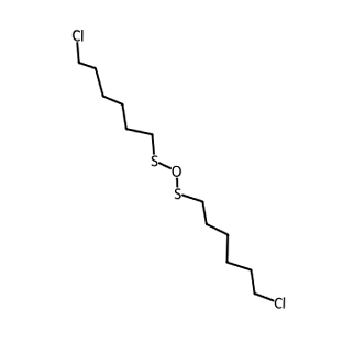 ClCCCCCCSOSCCCCCCCl